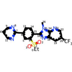 CCS(=O)(=O)c1cc(-c2ncccn2)ccc1-c1nc2cc(C(F)(F)F)cnc2n1C